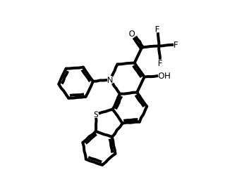 O=C(C1=C(O)c2ccc3c(sc4ccccc43)c2N(c2ccccc2)C1)C(F)(F)F